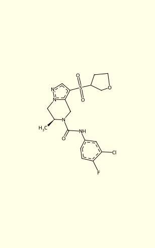 C[C@H]1Cn2ncc(S(=O)(=O)C3CCOC3)c2CN1C(=O)Nc1ccc(F)c(Cl)c1